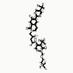 C[C@@H](CC(F)Cn1ccc2cc(-c3ncc(C(F)(F)F)cn3)c(F)cc2c1=O)Nc1cnn(COCC[Si](C)(C)C)c(=O)c1C(F)(F)F